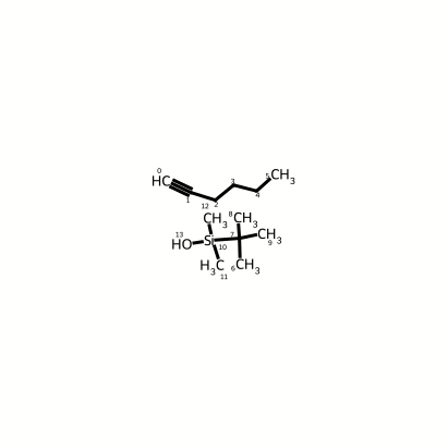 C#CCCCC.CC(C)(C)[Si](C)(C)O